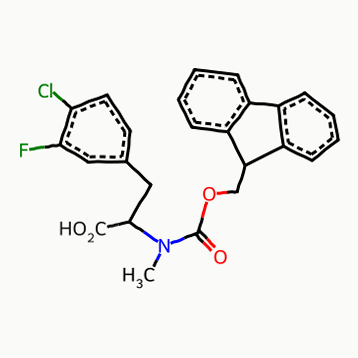 CN(C(=O)OCC1c2ccccc2-c2ccccc21)C(Cc1ccc(Cl)c(F)c1)C(=O)O